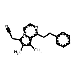 Cc1c(C)c2c(CCc3ccccc3)nccn2c1CC#N